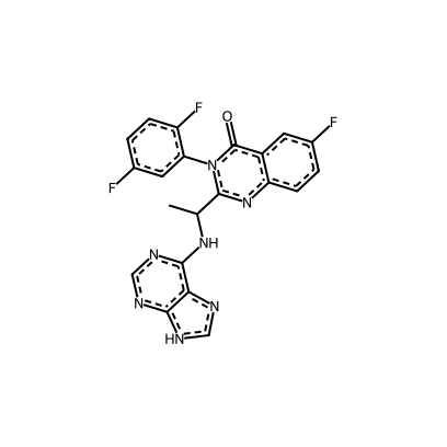 CC(Nc1ncnc2[nH]cnc12)c1nc2ccc(F)cc2c(=O)n1-c1cc(F)ccc1F